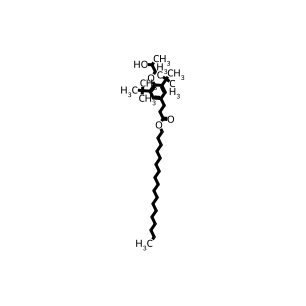 CCCCCCCCCCCCCCCCCCOC(=O)CCc1cc(C(C)(C)C)c(OCC(C)O)c(C(C)(C)C)c1